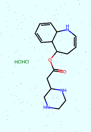 Cl.Cl.O=C(CC1CNCCN1)OC1CC=CNC2C=CC=CC21